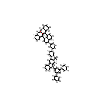 CC1(C)c2cc(-c3cccc(-c4ccc(-c5cccc6ccccc56)c5c(-c6cccc7ccccc67)cccc45)c3)ccc2-c2cc3c4ccccc4n(-c4nc(-c5ccccc5)nc(-c5ccccc5)n4)c3cc21